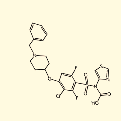 O=C(O)N(c1cscn1)S(=O)(=O)c1c(F)cc(OC2CCN(Cc3ccccc3)CC2)c(Cl)c1F